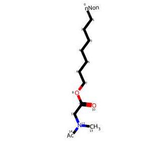 CCCCCCCCCCCCCCCCOC(=O)CN(C)C(C)=O